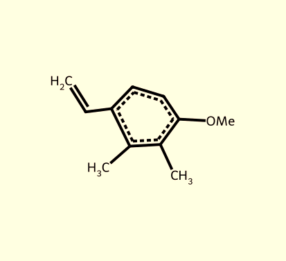 C=Cc1ccc(OC)c(C)c1C